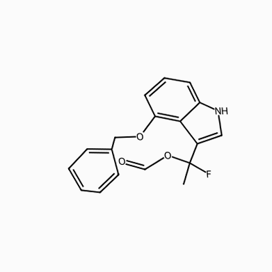 CC(F)(OC=O)c1c[nH]c2cccc(OCc3ccccc3)c12